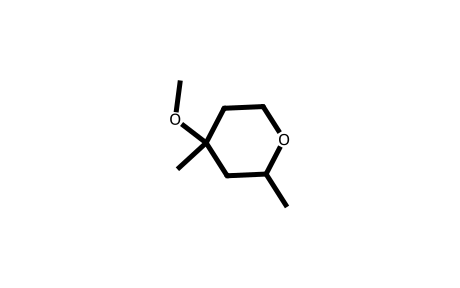 COC1(C)CCOC(C)C1